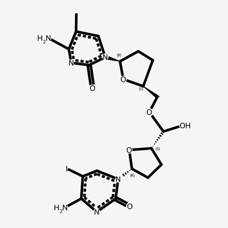 Cc1cn([C@H]2CC[C@@H]([CH]OC(O)[C@@H]3CC[C@H](n4cc(I)c(N)nc4=O)O3)O2)c(=O)nc1N